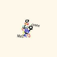 COc1ccc(CNC(=O)c2nc(SC)sc2NC(=O)C(F)(F)CCS(=O)(=O)c2ccccc2)c(OC)c1